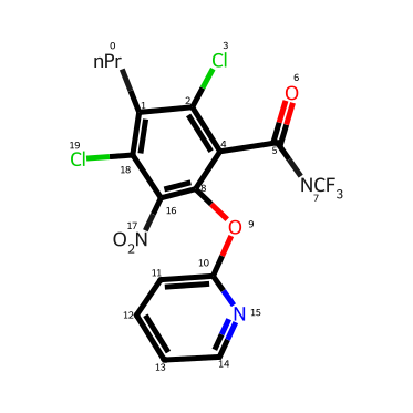 CCCc1c(Cl)c(C(=O)NC(F)(F)F)c(Oc2ccccn2)c([N+](=O)[O-])c1Cl